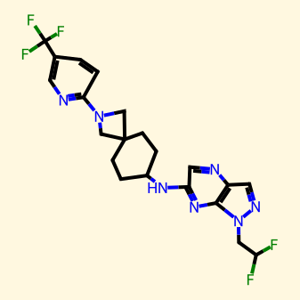 FC(F)Cn1ncc2ncc(NC3CCC4(CC3)CN(c3ccc(C(F)(F)F)cn3)C4)nc21